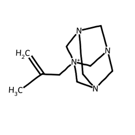 C=C(C)C[N+]12CN3CN(CN(C3)C1)C2